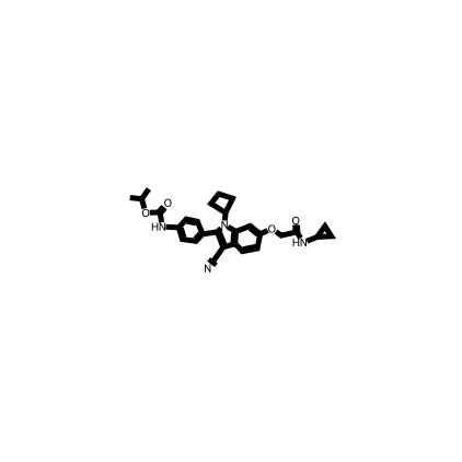 CC(C)OC(=O)Nc1ccc(-c2c(C#N)c3ccc(OCC(=O)NC4CC4)cc3n2C2CCC2)cc1